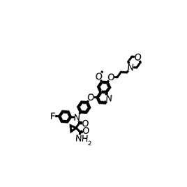 COc1cc2c(Oc3ccc(N(C(=O)C4(C(N)=O)CC4)c4ccc(F)cc4)cc3)ccnc2cc1OCCCN1CCOCC1